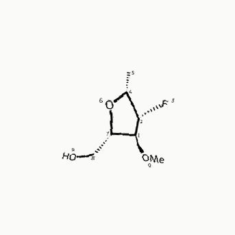 CO[C@@H]1[C@@H](F)[C@@H](C)O[C@H]1CO